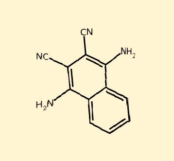 N#Cc1c(C#N)c(N)c2ccccc2c1N